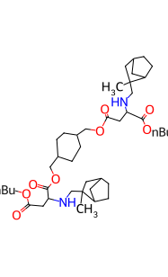 CCCCOC(=O)CC(NCC1(C)CC2CCC1C2)C(=O)OCC1CCC(COC(=O)CC(NCC2(C)CC3CCC2C3)C(=O)OCCCC)CC1